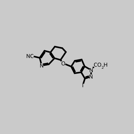 N#Cc1cc2c(cn1)C(Oc1ccc3c(c1)c(I)nn3C(=O)O)CCC2